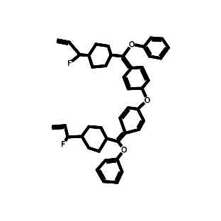 C=CC(F)C1CCC(C(Oc2ccccc2)=C2C=CC(OC3C=CC(=C(Oc4ccccc4)C4CCC(C(F)C=C)CC4)C=C3)C=C2)CC1